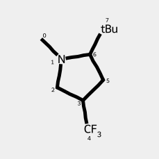 CN1CC(C(F)(F)F)CC1C(C)(C)C